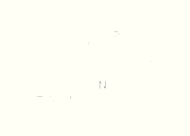 COc1ccc(Br)c(C2CC2)n1